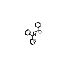 O=C(O/N=C(\c1ccccc1)c1ccccn1)c1ccccc1